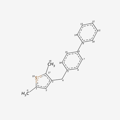 Cc1cc(Cc2ccc(-c3ccccc3)cc2)c(C)s1